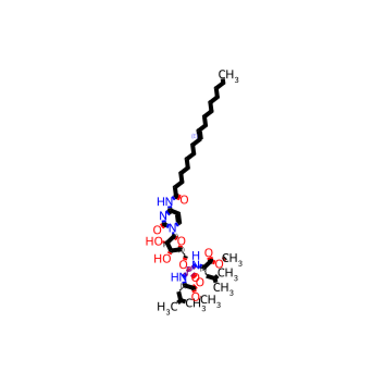 CCCCCCCC/C=C/CCCCCCCC(=O)Nc1ccn([C@H]2O[C@H](COP(=O)(N[C@@H](CC(C)C)C(=O)OC)N[C@@H](CC(C)C)C(=O)OC)C(O)[C@H]2O)c(=O)n1